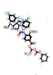 COc1cc(C(=O)OC(C)OC(=O)OC2CCCCC2)ccc1NC(=O)[C@@H]1N[C@@H](CC(C)(C)C)[C@](C=N)(c2ccc(Cl)cc2F)[C@H]1c1cccc(Cl)c1F